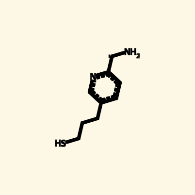 N[C]c1ccc(CCCS)cn1